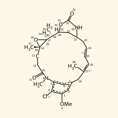 COc1cc2cc(c1Cl)N(C)C(=O)CC[C@]1(C)O[C@H]1[C@H](C)[C@@H]1CC(C/C=C/C=C(\C)C2)NC(=O)O1